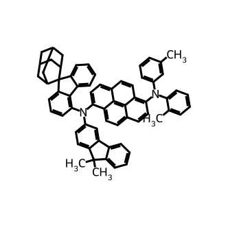 Cc1cccc(N(c2ccccc2C)c2ccc3ccc4c(N(c5ccc6c(c5)-c5ccccc5C6(C)C)c5cccc6c5-c5ccccc5C65C6CC7CC(C6)CC5C7)ccc5ccc2c3c54)c1